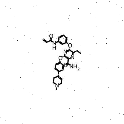 C=CC(=O)Nc1cccc(Oc2nc(Oc3ccc(C4=CCN(C)CC4)cc3)c(C(N)=O)nc2CC)c1